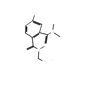 CCOC(=O)Cn1nc(N(C)C)c2cc(Br)ccc2c1=O